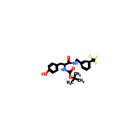 CC(C)(C)OC(=O)NC(Cc1ccc(O)cc1)C(=O)NCc1cccc(C(F)(F)F)c1